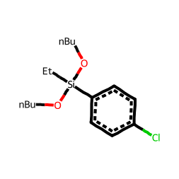 CCCCO[Si](CC)(OCCCC)c1ccc(Cl)cc1